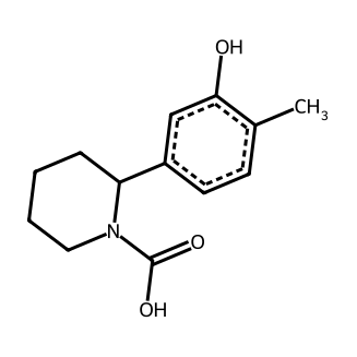 Cc1ccc(C2CCCCN2C(=O)O)cc1O